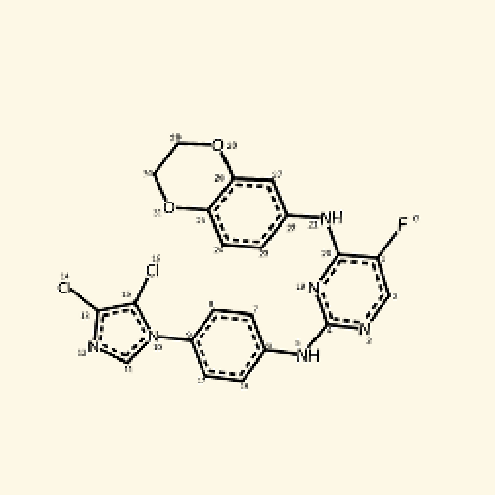 Fc1cnc(Nc2ccc(-n3cnc(Cl)c3Cl)cc2)nc1Nc1ccc2c(c1)OCCO2